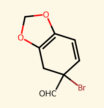 O=CC1(Br)C=CC2=C(C1)OCO2